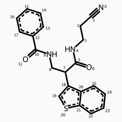 N#CCCNC(=O)C(CNC(=O)c1ccccc1)c1csc2ccccc12